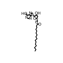 CCCCCCCCCCCCCCCC(=O)OC[C@@H]1C[C@@H](O)[C@H](n2cnc3c(O)ncnc32)O1